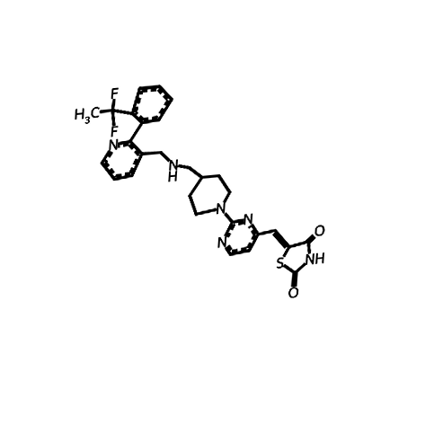 CC(F)(F)c1ccccc1-c1ncccc1CNCC1CCN(c2nccc(/C=C3\SC(=O)NC3=O)n2)CC1